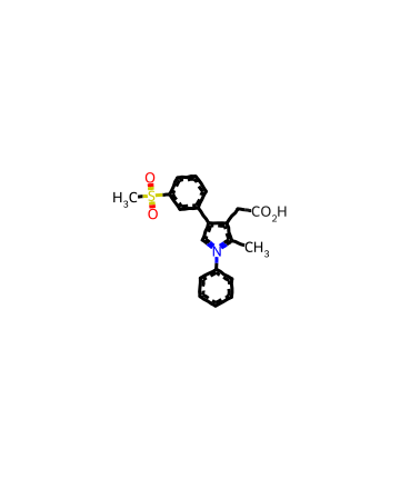 Cc1c(CC(=O)O)c(-c2cccc(S(C)(=O)=O)c2)cn1-c1ccccc1